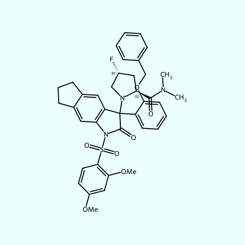 COc1ccc(S(=O)(=O)N2C(=O)C(c3ccccc3OCc3ccccc3)(N3C[C@H](F)C[C@H]3C(=O)N(C)C)c3cc4c(cc32)CCC4)c(OC)c1